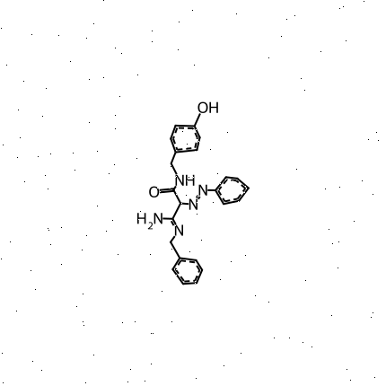 N/C(=N\Cc1ccccc1)C(/N=N/c1ccccc1)C(=O)NCc1ccc(O)cc1